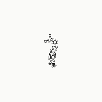 Cc1ccc(C(=O)OC2=CC3=CC[C@H]4[C@@H]5CC[C@H](OP(=O)(O)O)[C@@]5(C)CC[C@@H]4[C@@]3(C)CC2)cc1N(CCCl)CCCl